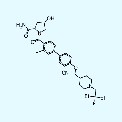 CCC(F)(CC)CN1CCC(COc2ccc(-c3ccc(C(=O)N4C[C@H](O)C[C@H]4C(N)=O)c(F)c3)cc2C#N)CC1